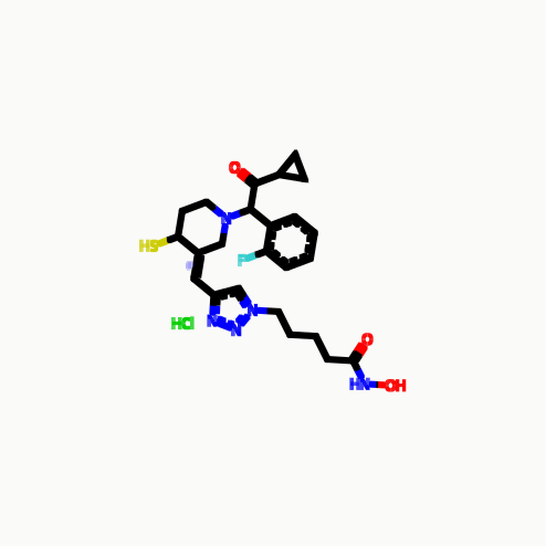 Cl.O=C(CCCCn1cc(/C=C2\CN(C(C(=O)C3CC3)c3ccccc3F)CCC2S)nn1)NO